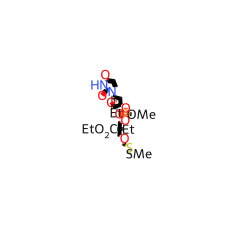 CCOC(=O)C(CC)(COCSSC)COP(=O)(OC)OC1C[C@H](n2ccc(=O)[nH]c2=O)O[C@@H]1CC